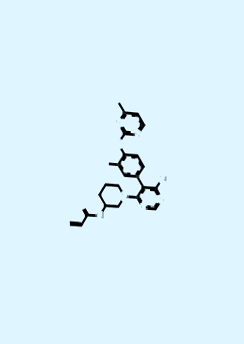 C=CC(=O)NC1CCCN(c2ncnc(N)c2-c2ccc(Oc3nccc(C)n3)c(F)c2)C1